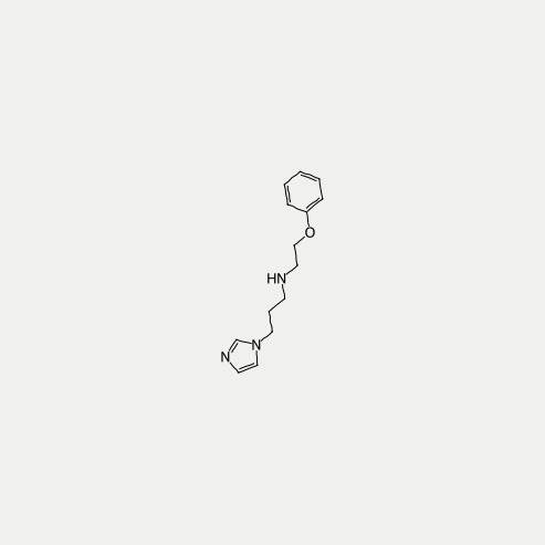 c1ccc(OCCNCCCn2ccnc2)cc1